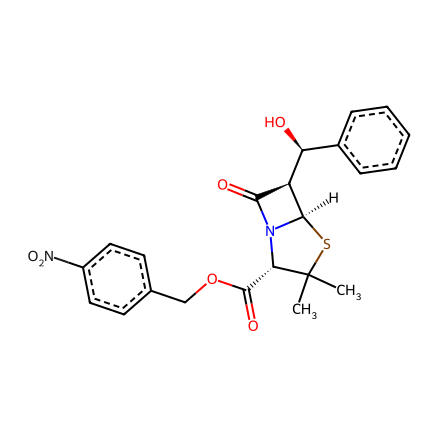 CC1(C)S[C@@H]2[C@H]([C@@H](O)c3ccccc3)C(=O)N2[C@H]1C(=O)OCc1ccc([N+](=O)[O-])cc1